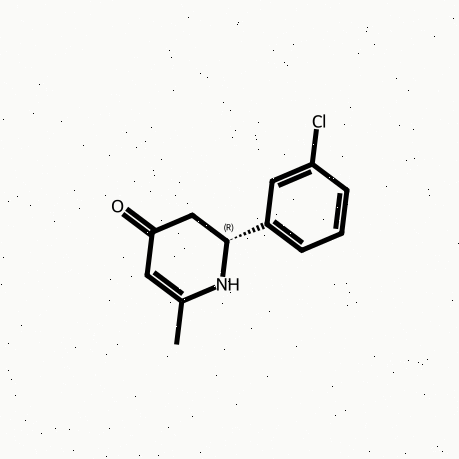 CC1=CC(=O)C[C@H](c2cccc(Cl)c2)N1